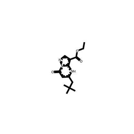 CCOC(=O)c1cnn2c(=O)cc(CC(C)(C)C)[nH]c12